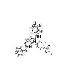 NC(=O)[C@H]1CC[C@@H](n2c(Nc3ccc(Cl)c(Cl)c3F)nc3cnc(NC4CCOCC4)nc32)CC1